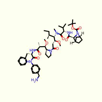 CC[C@H](C)[C@@H]([C@@H](CC(=O)N1CCC[C@H]1[C@H](OC)[C@@H](C)C(=O)N[C@@H](Cc1ccccc1)C(=O)Nc1ccc(CN)cc1)OC)N(C)C(=O)[C@@H](NC(=O)[C@@H]1[C@H]2CC[C@H](C2)N1C(=O)OC(C)(C)C)C(C)C